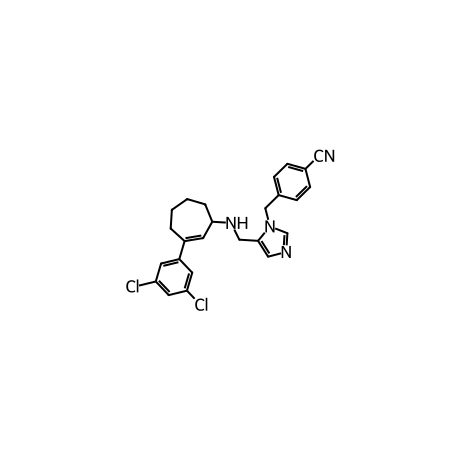 N#Cc1ccc(Cn2cncc2CNC2C=C(c3cc(Cl)cc(Cl)c3)CCCC2)cc1